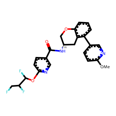 COc1ccc(-c2cccc3c2C[C@H](NC(=O)c2ccc(OC(F)C(F)CF)nc2)CO3)cn1